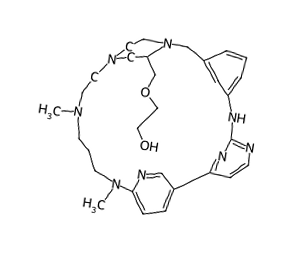 CN1CCCN(C)c2ccc(cn2)-c2ccnc(n2)Nc2cccc(c2)CN2CCN(CC1)CC2COCCO